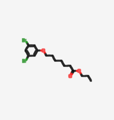 CCCOC(=O)CCCCCCOc1cc(Br)cc(Br)c1